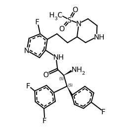 CS(=O)(=O)N1CCNCC1CCc1c(F)cncc1NC(=O)[C@@H](N)[C@@H](c1ccc(F)cc1)c1cc(F)cc(F)c1